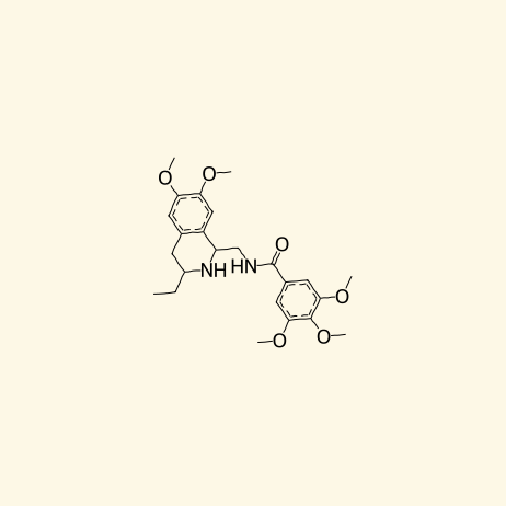 CCC1Cc2cc(OC)c(OC)cc2C(CNC(=O)c2cc(OC)c(OC)c(OC)c2)N1